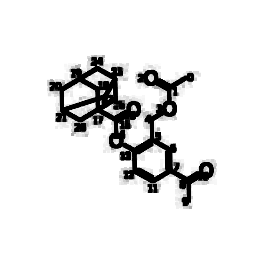 CC(=O)OCc1cc(C(C)=O)ccc1OC(=O)C12CC3CC(CC(C3)C1)C2